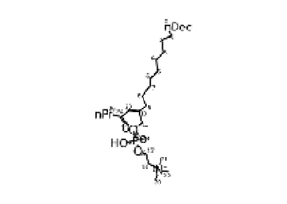 CCCCCCCCCCCCCCCCCCCC(COP(=O)(O)OCC[N+](C)(C)C)CC(=O)CCC